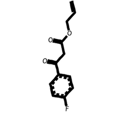 C=CCOC(=O)CC(=O)c1ccc(F)cc1